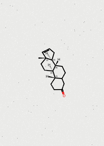 C[C@@]12C=CC[C@H]1[C@@H]1CCC3CC(=O)CC[C@@H]3[C@H]1CC2